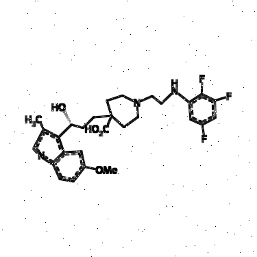 COc1ccc2ncc(C)c([C@H](O)CCC3(C(=O)O)CCN(CCNc4cc(F)cc(F)c4F)CC3)c2c1